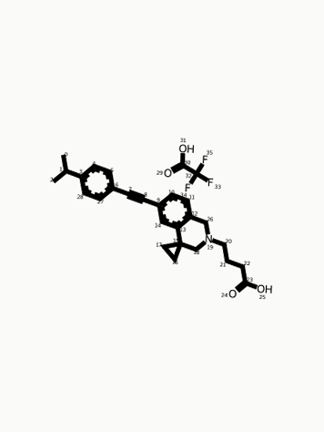 CC(C)c1ccc(C#Cc2ccc3c(c2)C2(CC2)CN(CCCC(=O)O)C3)cc1.O=C(O)C(F)(F)F